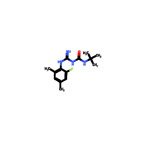 Cc1cc(C)c(NC(=N)NC(=O)NC(C)(C)C)c(F)c1